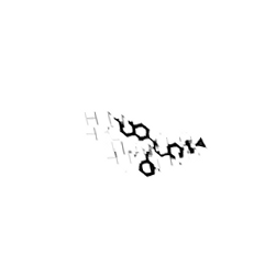 Cc1cc2cc(C(=O)N(Cc3ccc(S(=O)(=O)C4CC4)cn3)[C@H](C)c3ncccc3P)ccc2nc1N